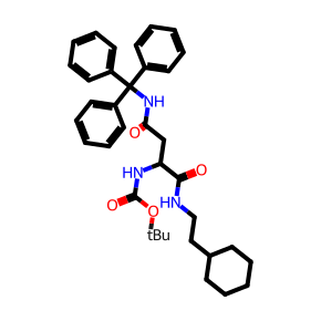 CC(C)(C)OC(=O)NC(CC(=O)NC(c1ccccc1)(c1ccccc1)c1ccccc1)C(=O)NCCC1CCCCC1